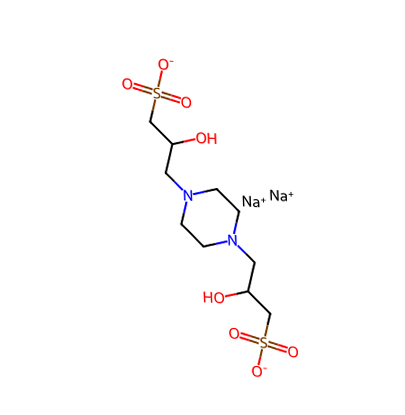 O=S(=O)([O-])CC(O)CN1CCN(CC(O)CS(=O)(=O)[O-])CC1.[Na+].[Na+]